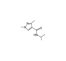 Cc1nn(C)cc1C(=O)NC(C)C